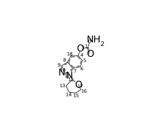 NC(=O)Oc1ccc2c(cnn2C2CCCCO2)c1